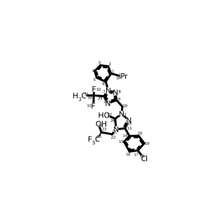 CC(C)c1ccccc1-n1nc(CN2N=C(c3ccc(Cl)cc3)N(C[C@H](O)C(F)(F)F)C2O)nc1C(C)(F)F